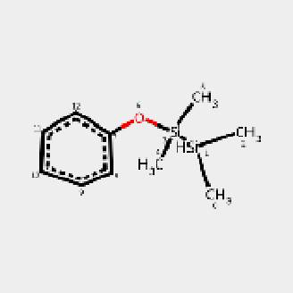 C[SiH](C)[Si](C)(C)Oc1ccccc1